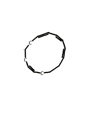 [CH]1CC=CC=CC=CCCCC=CC1